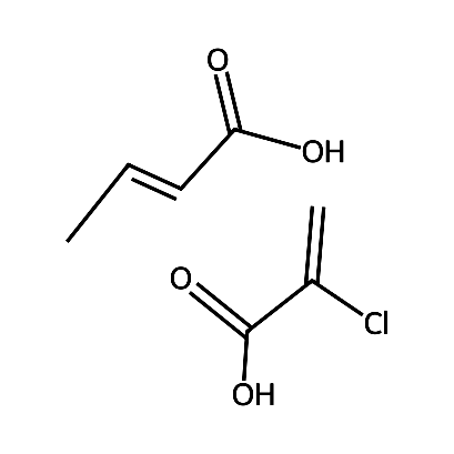 C=C(Cl)C(=O)O.CC=CC(=O)O